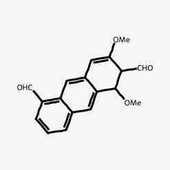 COC1=Cc2cc3c(C=O)cccc3cc2C(OC)C1C=O